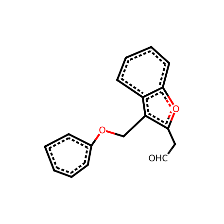 O=CCc1oc2ccccc2c1COc1ccccc1